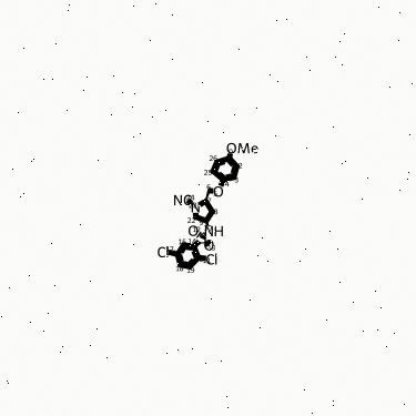 COc1ccc(OC[C@H]2C[C@@H](NS(=O)(=O)c3cc(Cl)ccc3Cl)CN2C#N)cc1